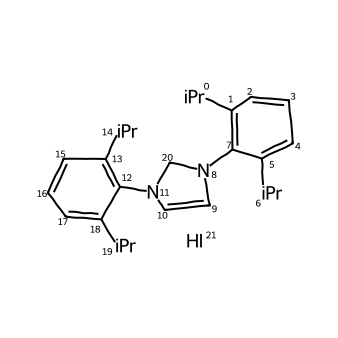 CC(C)c1cccc(C(C)C)c1N1C=CN(c2c(C(C)C)cccc2C(C)C)C1.I